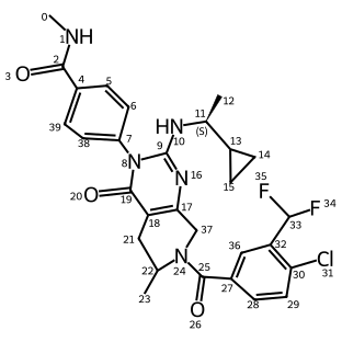 CNC(=O)c1ccc(-n2c(N[C@@H](C)C3CC3)nc3c(c2=O)CC(C)N(C(=O)c2ccc(Cl)c(C(F)F)c2)C3)cc1